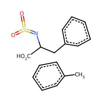 Cc1ccccc1.O=C(O)C(Cc1ccccc1)N=S(=O)=O